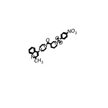 Cc1cc(N2CCN(C(=O)C3CCCN(S(=O)(=O)c4ccc([N+](=O)[O-])cc4)C3)CC2)c2ccccc2n1